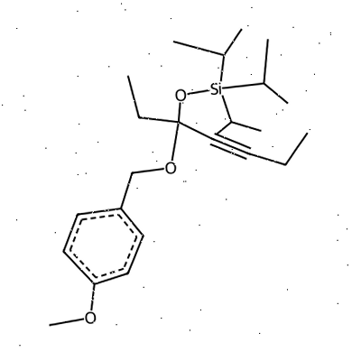 CCC#CC(CC)(OCc1ccc(OC)cc1)O[Si](C(C)C)(C(C)C)C(C)C